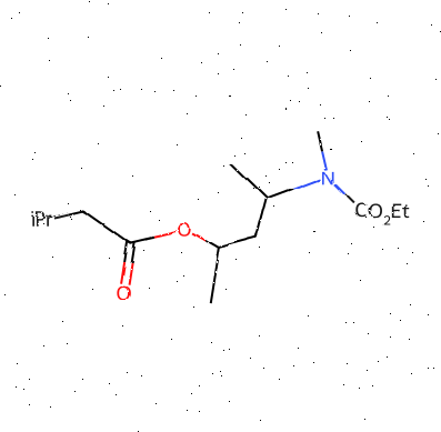 CCOC(=O)N(C)C(C)CC(C)OC(=O)CC(C)C